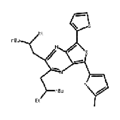 CCCCC(CC)Cc1nc2c(-c3cccs3)sc(-c3ccc(C)s3)c2nc1CC(CC)CCCC